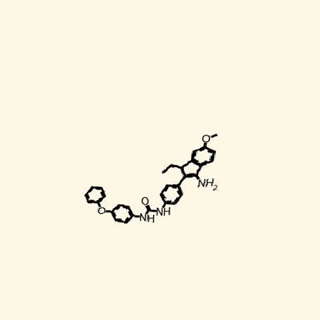 CCC1C(c2ccc(NC(=O)Nc3ccc(Oc4ccccc4)cc3)cc2)=C(N)c2ccc(OC)cc21